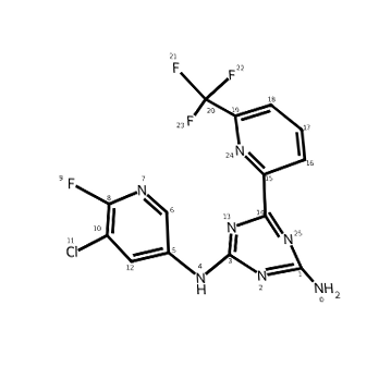 Nc1nc(Nc2cnc(F)c(Cl)c2)nc(-c2cccc(C(F)(F)F)n2)n1